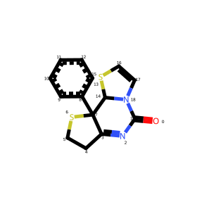 O=C1N=C2CCSC2(c2ccccc2)C2SC=CN12